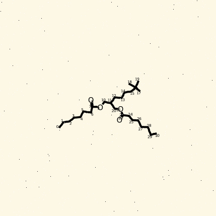 CCCCCCCC(=O)OCC(CCCCC(C)(C)C)COC(=O)CCCCCCC